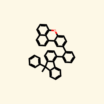 CC1(c2ccccc2)c2ccccc2-c2c(-c3ccccc3-c3ccc4c(c3)-c3cccc5cccc(c35)O4)cccc21